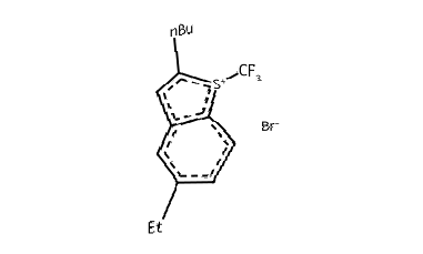 CCCCc1cc2cc(CC)ccc2[s+]1C(F)(F)F.[Br-]